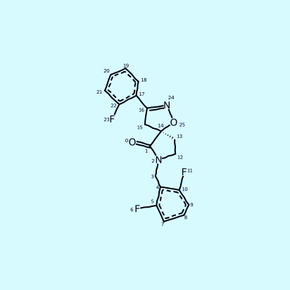 O=C1N(Cc2c(F)cccc2F)CC[C@@]12CC(c1ccccc1F)=NO2